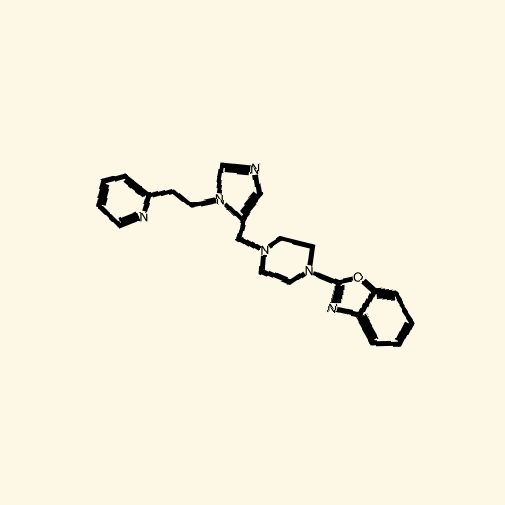 c1ccc(CCn2cncc2CN2CCN(c3nc4ccccc4o3)CC2)nc1